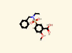 CCN(Cc1ccccc1)S(=O)(=O)c1ccc(OC)c(C(=O)O)c1